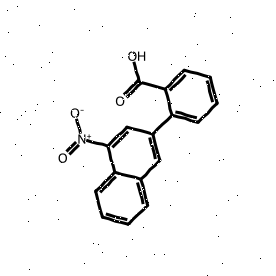 O=C(O)c1ccccc1-c1cc([N+](=O)[O-])c2ccccc2c1